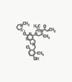 C=CC(=O)N1[C@H](C)CN(c2nc(OC[C@@H]3CCCN3C)nc3c2CN(Cc2c(Cl)ccc(O)c2C)C3)C[C@@H]1C